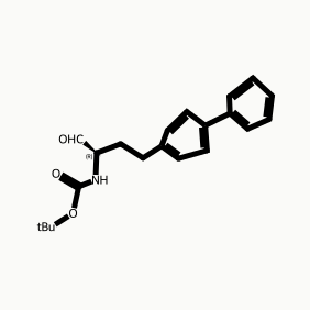 CC(C)(C)OC(=O)N[C@@H](C=O)CCc1ccc(-c2ccccc2)cc1